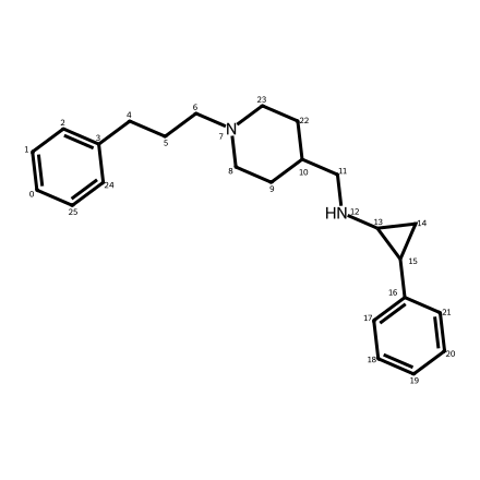 c1ccc(CCCN2CCC(CNC3CC3c3ccccc3)CC2)cc1